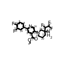 COC(=O)c1cc(-c2ccc(F)c(F)c2)ncc1N1CCCC(N)(C(F)C(F)F)C1